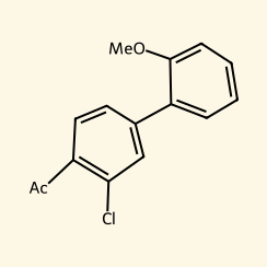 COc1ccccc1-c1ccc(C(C)=O)c(Cl)c1